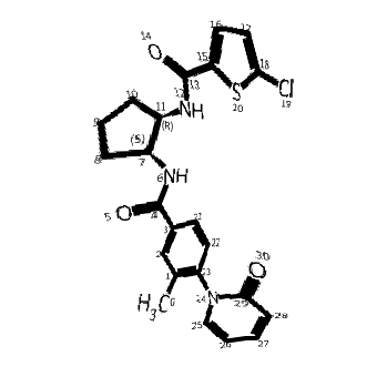 Cc1cc(C(=O)N[C@H]2CCC[C@H]2NC(=O)c2ccc(Cl)s2)ccc1-n1ccccc1=O